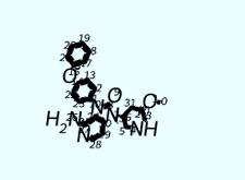 CO[C@H]1CNC[C@@H](n2c(=O)n(-c3ccc(Oc4ccccc4)cc3)c3c(N)nccc32)C1